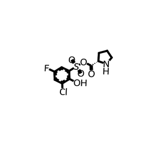 O=C(OS(=O)(=O)c1cc(F)cc(Cl)c1O)[C@@H]1CCCN1